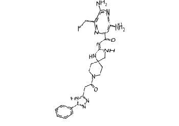 Nc1nc(N)c(C(=O)/N=C2\NCC3(CCN(C(=O)Cc4nnc(-c5ccccc5)[nH]4)CC3)N2)nc1CI